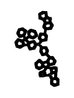 c1ccc(C2(c3ccccc3)c3ccccc3-c3ccc(N(c4ccc(-c5ccc6oc7ccccc7c6c5)cc4)c4ccc(-c5cccc6c5-c5ccccc5C65c6ccccc6-n6c7ccccc7c7cccc5c76)cc4)cc32)cc1